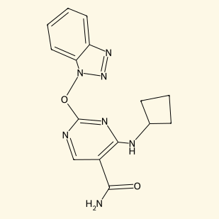 NC(=O)c1cnc(On2nnc3ccccc32)nc1NC1CCC1